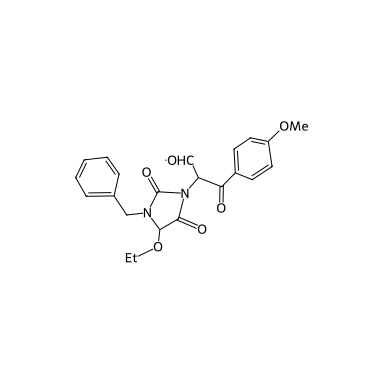 CCOC1C(=O)N(C([C]=O)C(=O)c2ccc(OC)cc2)C(=O)N1Cc1ccccc1